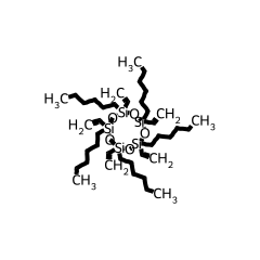 C=C[Si]1(CCCCCC)O[Si](C=C)(CCCCCC)O[Si](C=C)(CCCCCC)O[Si](C=C)(CCCCCC)O[Si](C=C)(CCCCCC)O1